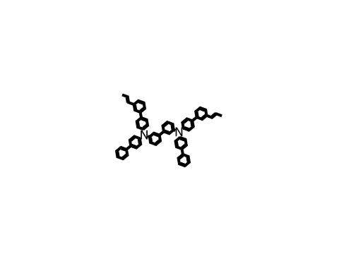 C/C=C/c1cccc(-c2ccc(N(c3ccc(-c4ccccc4)cc3)c3cccc(-c4cccc(N(c5ccc(-c6ccccc6)cc5)c5ccc(-c6cccc(/C=C/C)c6)cc5)c4)c3)cc2)c1